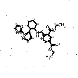 CCOC(=O)c1cnc(CNC2CCCCC2c2ccnn2-c2ncco2)c(C(=O)OCC)c1